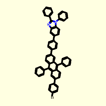 CCc1ccc(-c2ccc3c(-c4ccccc4)c4cc(-c5ccc(-c6ccc7c(c6)nc(-c6ccccc6)n7-c6ccccc6)cc5)ccc4c(-c4ccccc4)c3c2)cc1